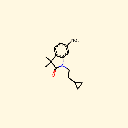 CC1(C)C(=O)N(CCC2CC2)c2cc([N+](=O)[O-])ccc21